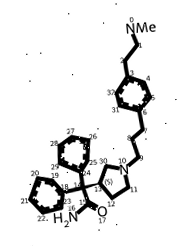 CNCCc1ccc(CCCN2CC[C@@H](C(C(N)=O)(c3ccccc3)c3ccccc3)C2)cc1